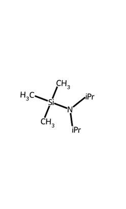 CC(C)N(C(C)C)[Si](C)(C)C